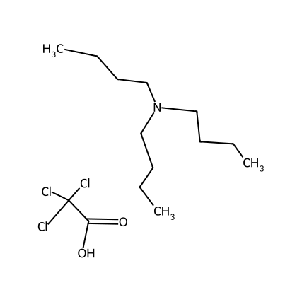 CCCCN(CCCC)CCCC.O=C(O)C(Cl)(Cl)Cl